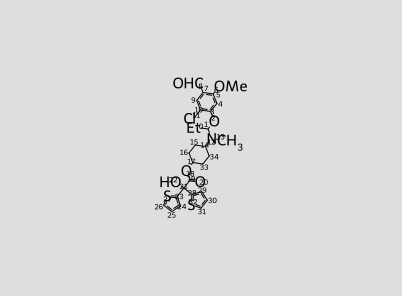 CCC(Oc1cc(OC)c(C=O)cc1Cl)N(C)C1CCC(OC(=O)C(O)(c2cccs2)c2cccs2)CC1